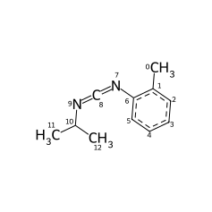 Cc1ccccc1N=C=NC(C)C